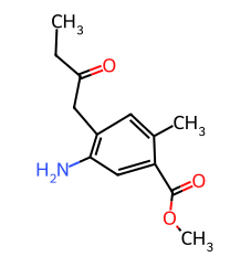 CCC(=O)Cc1cc(C)c(C(=O)OC)cc1N